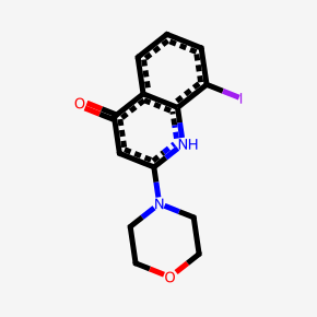 O=c1cc(N2CCOCC2)[nH]c2c(I)cccc12